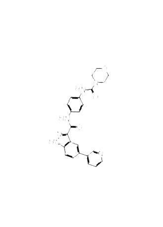 O=C(Nc1ccc(NC(=O)N2CCOCC2)cc1)c1n[nH]c2ccc(-c3cccnc3)cc12